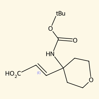 CC(C)(C)OC(=O)NC1(/C=C/C(=O)O)CCOCC1